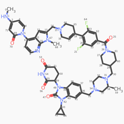 CNc1ccn(-c2ccnc3c2cc(CN2CC=C(c4c(F)cc(C(=O)N5CCC(CN6CCN(Cc7ccc8c(c7)n(C7CC7)c(=O)n8C7CCC(=O)NC7=O)C[C@@H]6C)CC5)cc4F)CC2)n3C)c(=O)c1